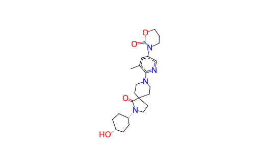 Cc1cc(N2CCCOC2=O)cnc1N1CCC2(CC1)CCN([C@H]1CC[C@@H](O)CC1)C2=O